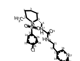 C[C@@H]1CCC[C@H](CNC(=O)NCCc2cccnc2)N1S(=O)(=O)c1ccc(Cl)cc1